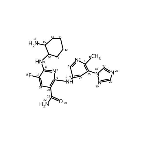 Cc1ncc(Nc2nc(NC3CCCCC3N)c(F)cc2C(N)=O)cc1-n1cncn1